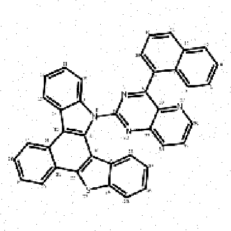 c1ccc2c(-c3nc(-n4c5ccccc5c5c6ccccc6c6sc7ccccc7c6c54)nc4cccnc34)cccc2c1